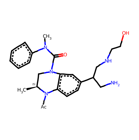 CC(=O)N1c2ccc(C(CN)CNCCO)cc2N(C(=O)N(C)c2ccccc2)C[C@@H]1C